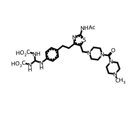 CC(=O)Nc1nc(CCc2ccc(NC(NC(=O)O)NC(=O)O)cc2)c(CN2CCN(C(=O)N3CCN(C)CC3)CC2)s1